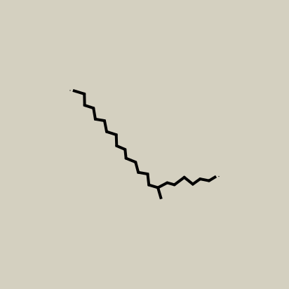 [CH2]CCCCCCCCCCCCCCC(C)CCCCCC[CH2]